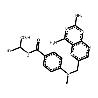 CC(C)C(NC(=O)c1ccc(N(C)Cc2cnc3nc(N)nc(N)c3n2)cc1)C(=O)O